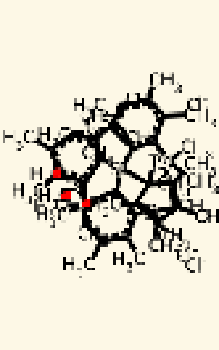 CC1=C(C)[C]([Ti+3])([Si](c2c([Si](C)(C)C)cc(C)c(C)c2[Si](C)(C)C)(c2c([Si](C)(C)C)cc(C)c(C)c2[Si](C)(C)C)c2c([Si](C)(C)C)cc(C)c(C)c2[Si](C)(C)C)C(C)=C1C.[Cl-].[Cl-].[Cl-]